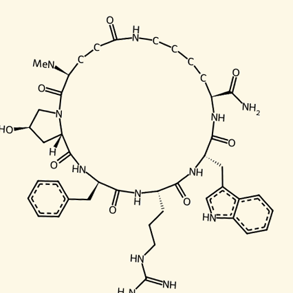 CN[C@H]1CCC(=O)NCCCC[C@@H](C(N)=O)NC(=O)[C@H](Cc2c[nH]c3ccccc23)NC(=O)[C@H](CCCNC(=N)N)NC(=O)[C@@H](Cc2ccccc2)NC(=O)[C@@H]2C[C@@H](O)CN2C1=O